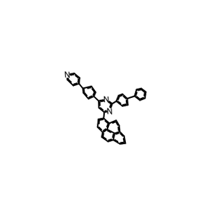 c1ccc(-c2ccc(-c3nc(-c4ccc(-c5ccncc5)cc4)cc(-c4ccc5ccc6cccc7ccc4c5c67)n3)cc2)cc1